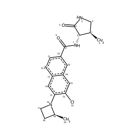 C[C@@H]1CNC(=O)[C@H]1NC(=O)c1cnc2cc(N3CC[C@@H]3C)c(Cl)cc2c1